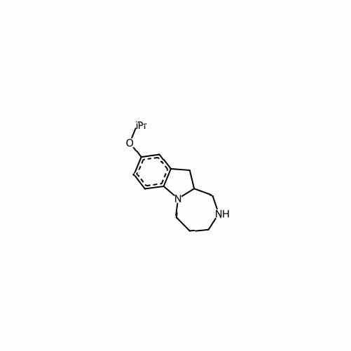 CC(C)Oc1ccc2c(c1)CC1CNCCCN21